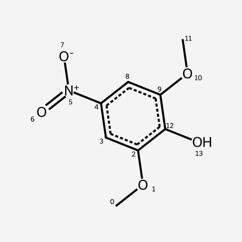 COc1cc([N+](=O)[O-])cc(OC)c1O